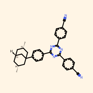 C[C@@H]1C[C@@H]2C[C@H](C)CC(c3ccc(-c4nc(-c5ccc(C#N)cc5)nc(-c5ccc(C#N)cc5)n4)cc3)(C1)C2